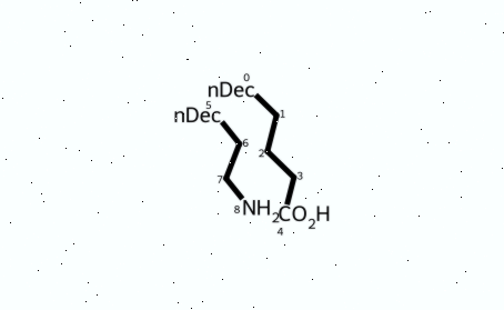 CCCCCCCCCCCCCC(=O)O.CCCCCCCCCCCCN